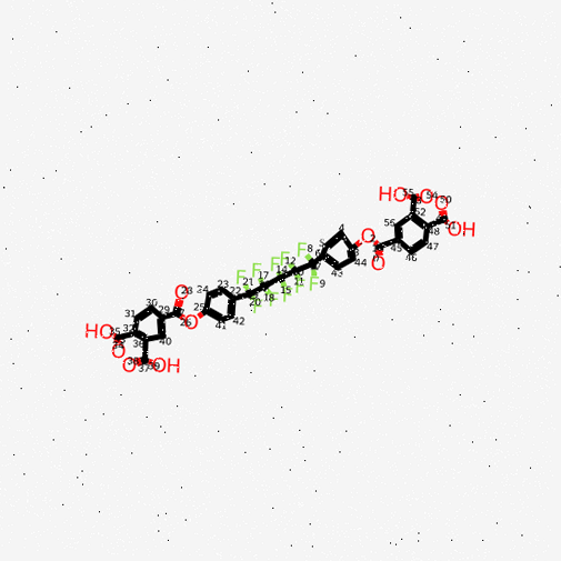 O=C(Oc1ccc(C(F)(F)C(F)(F)C(F)(F)C(F)(F)C(F)(F)c2ccc(OC(=O)c3ccc(C(=O)O)c(C(=O)O)c3)cc2)cc1)c1ccc(C(=O)O)c(C(=O)O)c1